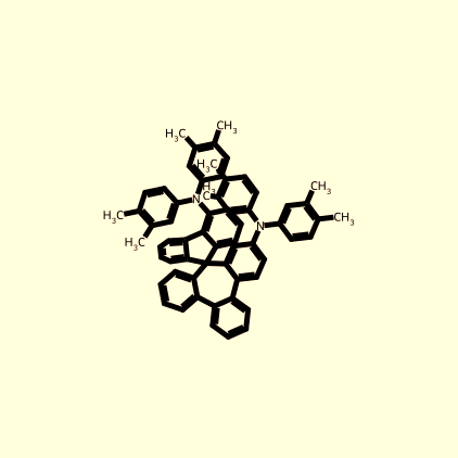 Cc1ccc(N(c2ccc(C)c(C)c2)c2ccc3c(c2)C2(c4ccccc4-c4ccccc4-3)c3ccccc3-c3c(N(c4ccc(C)c(C)c4)c4ccc(C)c(C)c4)cccc32)cc1C